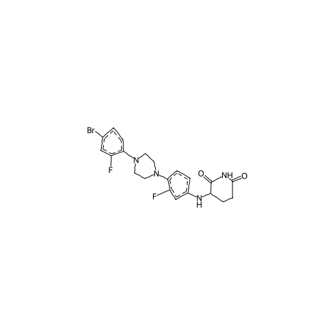 O=C1CCC(Nc2ccc(N3CCN(c4ccc(Br)cc4F)CC3)c(F)c2)C(=O)N1